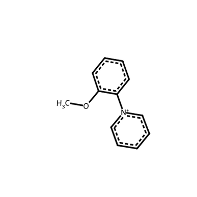 COc1ccccc1-[n+]1ccccc1